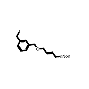 CCCCCCCCCC/C=C/COCc1cccc(CI)c1